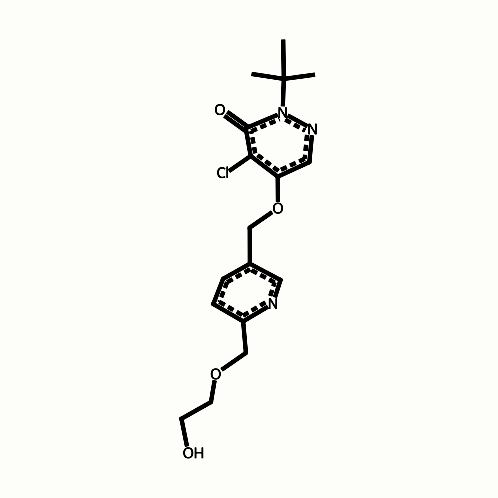 CC(C)(C)n1ncc(OCc2ccc(COCCO)nc2)c(Cl)c1=O